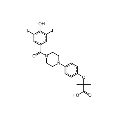 CC(C)(Oc1ccc(N2CCN(C(=O)c3cc(I)c(O)c(I)c3)CC2)cc1)C(=O)O